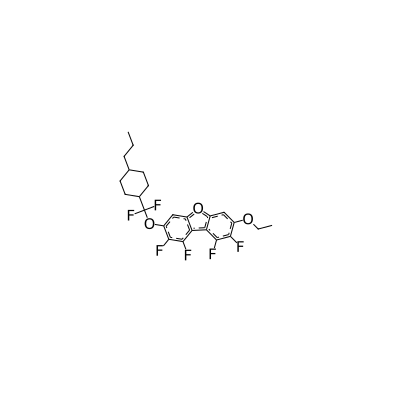 CCCC1CCC(C(F)(F)Oc2cc3oc4cc(OCC)c(F)c(F)c4c3c(F)c2F)CC1